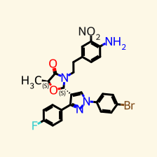 C[C@@H]1O[C@@H](c2cn(-c3ccc(Br)cc3)nc2-c2ccc(F)cc2)N(CCc2ccc(N)c([N+](=O)[O-])c2)C1=O